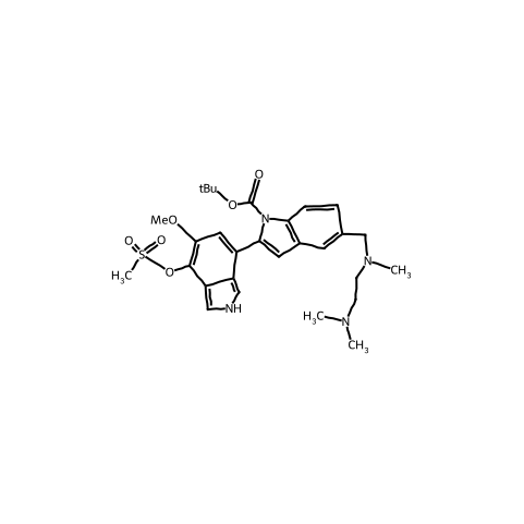 COc1cc(-c2cc3cc(CN(C)CCN(C)C)ccc3n2C(=O)OC(C)(C)C)c2c[nH]cc2c1OS(C)(=O)=O